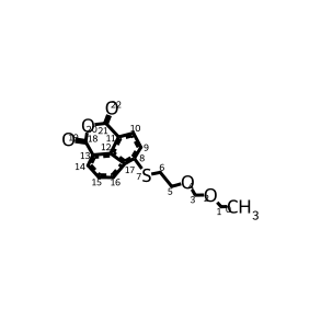 CCOCOCCSc1ccc2c3c(cccc13)C(=O)OC2=O